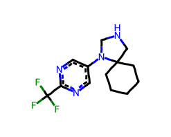 FC(F)(F)c1ncc(N2CNCC23CCCCC3)cn1